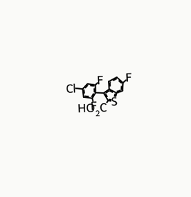 O=C(O)c1sc2cc(F)ccc2c1-c1c(F)cc(Cl)cc1F